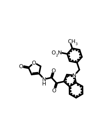 Cc1ccc(Cn2cc(C(=O)C(=O)NC3=CC(=O)OC3)c3ccccc32)cc1[N+](=O)[O-]